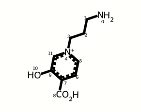 NCCC[n+]1ccc(C(=O)O)c(O)c1